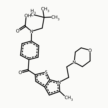 Cc1cc2cc(C(=O)c3ccc(N(CC(C)(C)C)C(=O)O)cc3)sc2n1CCN1CCOCC1